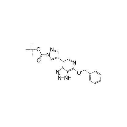 CC(C)(C)OC(=O)n1cc(-c2cnc(OCc3ccccc3)c3[nH]nnc23)cn1